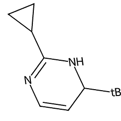 CC(C)(C)C1C=CN=C(C2CC2)N1